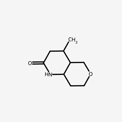 CC1CC(=O)NC2CCOCC12